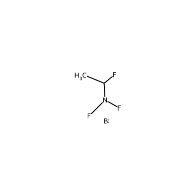 CC(F)N(F)F.[B]